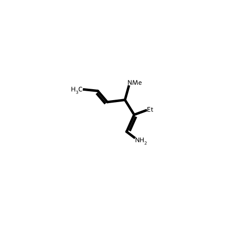 CC=CC(NC)/C(=C/N)CC